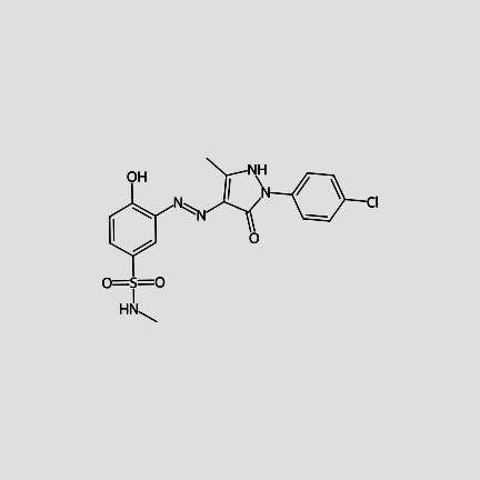 CNS(=O)(=O)c1ccc(O)c(N=Nc2c(C)[nH]n(-c3ccc(Cl)cc3)c2=O)c1